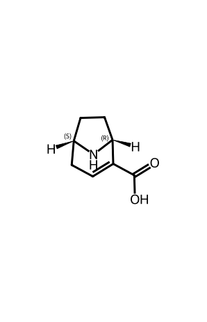 O=C(O)C1=CC[C@@H]2CC[C@H]1N2